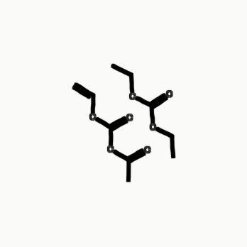 C=COC(=O)OC(C)=O.CCOC(=O)OCC